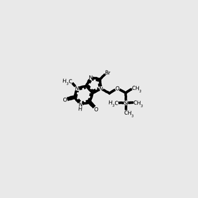 CC(OCn1c(Br)nc2c1c(=O)[nH]c(=O)n2C)[Si](C)(C)C